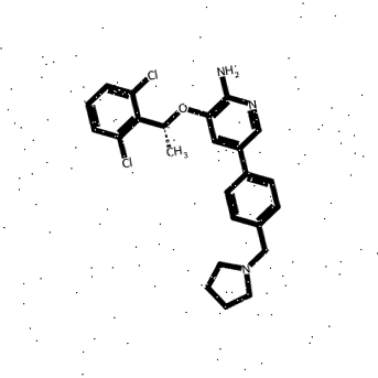 C[C@@H](Oc1cc(-c2ccc([CH]N3CCCC3)cc2)cnc1N)c1c(Cl)cccc1Cl